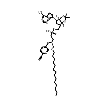 CCCCCCCCCCCCCCOC[C@H](COP(=O)(O)OC[C@@]1(C)C[C@@H](c2ccc3c(N)ncnn23)[C@@H]2OC(C)(C)O[C@@H]21)Oc1ccc(C#N)nc1